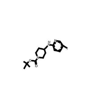 CC(C)(C)OC(=O)N1CCC(Nc2ccc(I)cn2)CC1